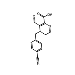 N#Cc1ccc(CC2CC=NC(C(=O)O)=C2C=O)cc1